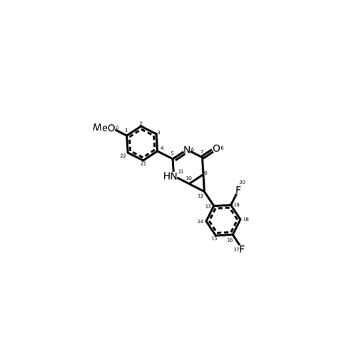 COc1ccc(C2=NC(=O)C3C(N2)C3c2ccc(F)cc2F)cc1